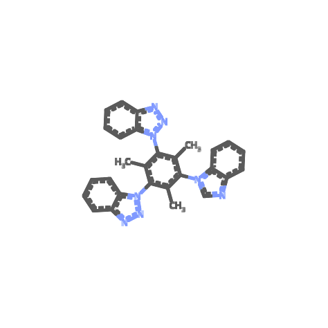 Cc1c(-n2cnc3ccccc32)c(C)c(-n2nnc3ccccc32)c(C)c1-n1nnc2ccccc21